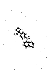 NC1(c2ccc(C(=O)c3cccc4cnccc34)cc2)CCC1